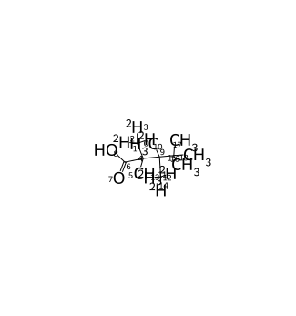 [2H]C([2H])([2H])C(C)(C(=O)O)C(C)(C([2H])([2H])[2H])C(C)(C)C